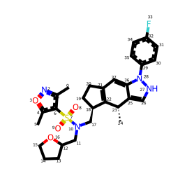 Cc1noc(C)c1S(=O)(=O)N(CC1CCCO1)C[C@H]1CCC2=C1[C@@H](C)C1=CNN(c3ccc(F)cc3)C1=C2